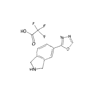 O=C(O)C(F)(F)F.c1nnc(-c2ccc3c(c2)CNC3)o1